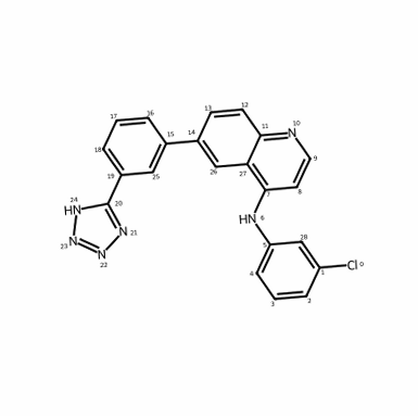 Clc1cccc(Nc2ccnc3ccc(-c4cccc(-c5nnn[nH]5)c4)cc23)c1